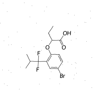 CCC(Oc1ccc(Br)cc1C(F)(F)C(C)C)C(=O)O